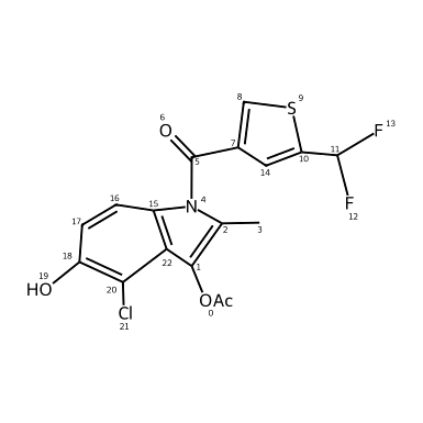 CC(=O)Oc1c(C)n(C(=O)c2csc(C(F)F)c2)c2ccc(O)c(Cl)c12